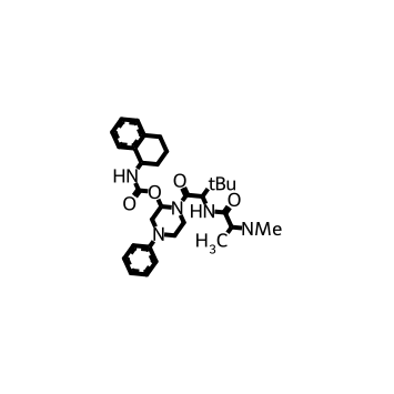 CNC(C)C(=O)NC(C(=O)N1CCN(c2ccccc2)CC1OC(=O)NC1CCCc2ccccc21)C(C)(C)C